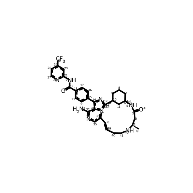 C[C@@H]1CC(=O)N[C@@H]2CCC[C@H](C2)c2nc(-c3ccc(C(=O)Nc4cc(C(F)(F)F)ccn4)cc3)c3c(N)ncc(n23)/C=C/CCN1